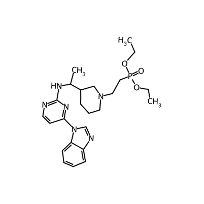 CCOP(=O)(CCN1CCCC(C(C)Nc2nccc(-n3cnc4ccccc43)n2)C1)OCC